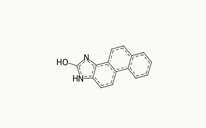 Oc1nc2c(ccc3c4ccccc4ccc32)[nH]1